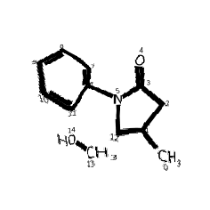 CC1CC(=O)N(c2ccccc2)C1.CO